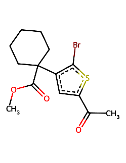 COC(=O)C1(c2cc(C(C)=O)sc2Br)CCCCC1